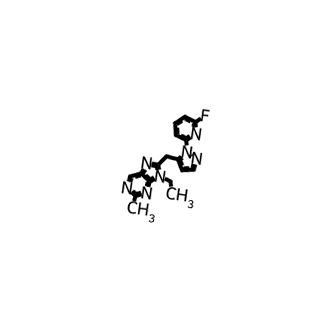 CCn1c(Cc2ccnn2-c2cccc(F)n2)nc2cnc(C)nc21